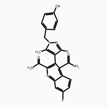 CCc1nn(Cc2ccc(C#N)cc2)c(C)c1-c1c(C(N)=O)nc2cc(F)ccc2c1C(N)=O